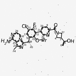 C=C(O)C1CN(C(=O)c2ccc(-c3c(F)c(Cl)cc([C@H](C)c4nc(C)c5c(N)nccn45)c3OC(C)C)cn2)C1